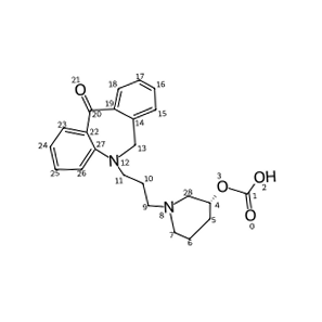 O=C(O)O[C@@H]1CCCN(CCCN2Cc3ccccc3C(=O)c3ccccc32)C1